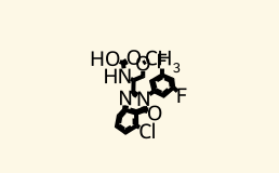 COCC(NC(=O)O)c1nc2cccc(Cl)c2c(=O)n1-c1cc(F)cc(F)c1